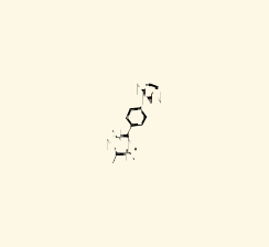 Cc1nnc(-c2ccc(-n3nccn3)cc2)nn1